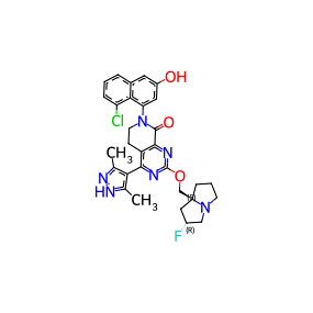 Cc1n[nH]c(C)c1-c1nc(OC[C@@]23CCCN2C[C@H](F)C3)nc2c1CCN(c1cc(O)cc3cccc(Cl)c13)C2=O